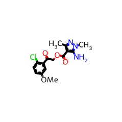 COc1ccc(Cl)c(C(=O)COC(=O)c2c(C)nn(C)c2N)c1